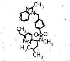 CCc1ccc(C(CC(C)C)N(C)S(=O)(=O)c2ccc(Cn3c(C)nc4cnccc43)cc2)nn1